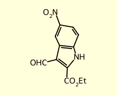 CCOC(=O)c1[nH]c2ccc([N+](=O)[O-])cc2c1C=O